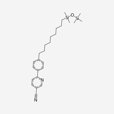 C[Si](C)(C)O[Si](C)(C)CCCCCCCCCc1ccc(-c2ccc(C#N)cn2)cc1